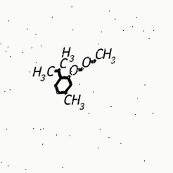 CCOCOC1CC(C)CCC1C(C)C